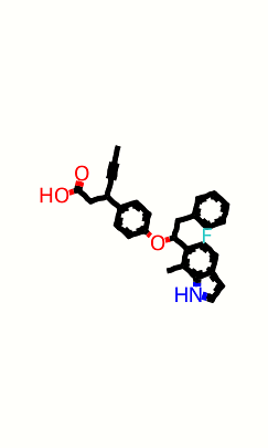 CC#CC(CC(=O)O)c1ccc(OC(Cc2ccccc2)c2c(F)cc3cc[nH]c3c2C)cc1